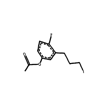 CC(=O)Oc1ccc(F)c(CCCI)c1